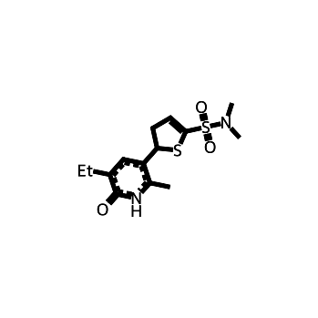 CCc1cc(C2CC=C(S(=O)(=O)N(C)C)S2)c(C)[nH]c1=O